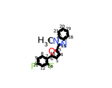 Cn1c(-c2ccc(-c3ccc(F)cc3F)o2)nc2ccccc21